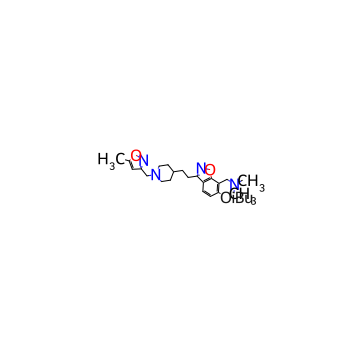 Cc1cc(CN2CCC(CCc3noc4c(CN(C)C)c(OCC(C)C)ccc34)CC2)no1